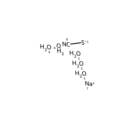 N#C[S-].O.O.O.O.O.[Na+]